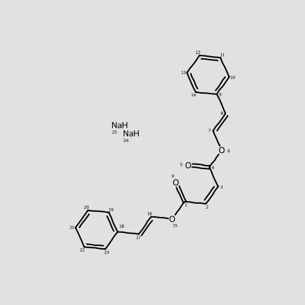 O=C(/C=C\C(=O)OC=Cc1ccccc1)OC=Cc1ccccc1.[NaH].[NaH]